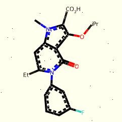 CCc1cc2c(c(OC(C)C)c(C(=O)O)n2C)c(=O)n1-c1cccc(F)c1